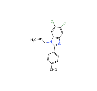 C=CCn1c(-c2ccc(C=O)cc2)nc2cc(Cl)c(Cl)cc21